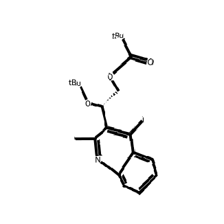 Cc1nc2ccccc2c(I)c1[C@@H](COC(=O)C(C)(C)C)OC(C)(C)C